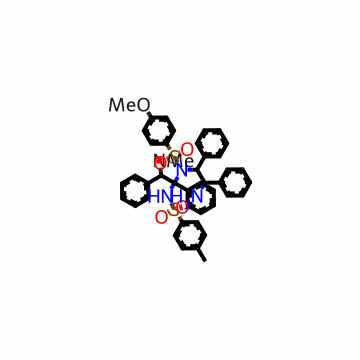 CNC(c1ccccc1)C(NS(=O)(=O)c1ccc(C)cc1)(c1ccccc1)N(C(c1ccccc1)C(N)c1ccccc1)S(=O)(=O)c1ccc(OC)cc1